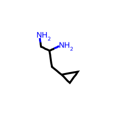 NCC(N)CC1CC1